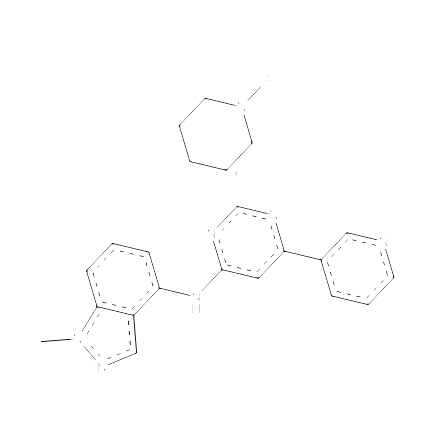 CC(=O)N1C[C@H](c2nc(Nc3cccc4c3cnn4C)cc(-c3cccnc3)n2)CC[C@@H]1C